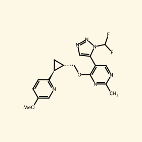 COc1ccc([C@H]2C[C@@H]2COc2nc(C)ncc2-c2cnnn2C(F)F)nc1